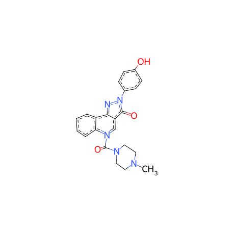 CN1CCN(C(=O)n2cc3c(=O)n(-c4ccc(O)cc4)nc-3c3ccccc32)CC1